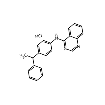 CC(c1ccccc1)c1ccc(Nc2ncnc3ccccc23)cc1.Cl